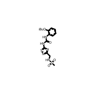 CC(C)COc1ccccc1NC(=O)Nc1nc(CNS(C)(=O)=O)ns1